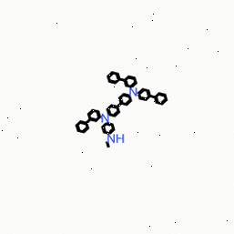 CCNc1ccc(N(c2ccc(-c3ccc(N(c4ccc(-c5ccccc5)cc4)c4cccc(-c5ccccc5)c4)cc3)cc2)c2cccc(-c3ccccc3)c2)cc1